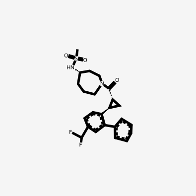 CS(=O)(=O)N[C@H]1CCCN(C(=O)[C@@H]2C[C@H]2c2ccc(C(F)F)cc2-c2ccccc2)CC1